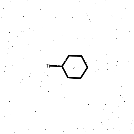 [Ti][CH]1CCCCC1